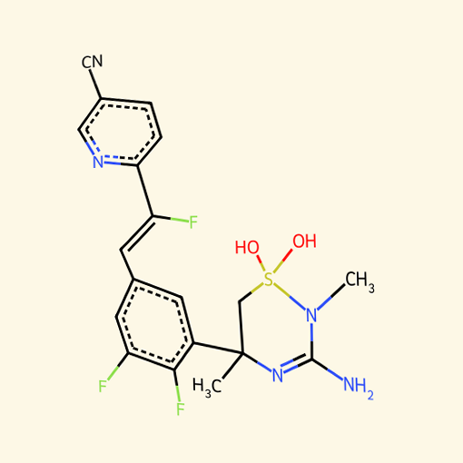 CN1C(N)=NC(C)(c2cc(C=C(F)c3ccc(C#N)cn3)cc(F)c2F)CS1(O)O